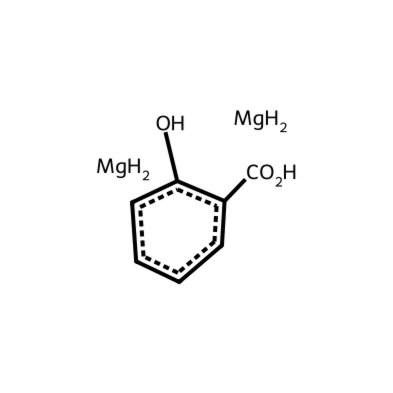 O=C(O)c1ccccc1O.[MgH2].[MgH2]